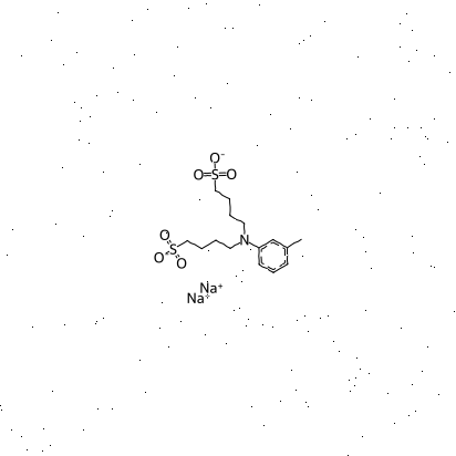 Cc1cccc(N(CCCCS(=O)(=O)[O-])CCCCS(=O)(=O)[O-])c1.[Na+].[Na+]